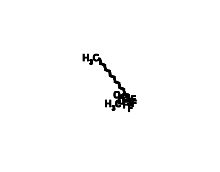 CCCCCCCCCCCCC(=CC(F)(F)C(F)(F)F)C(=O)OC